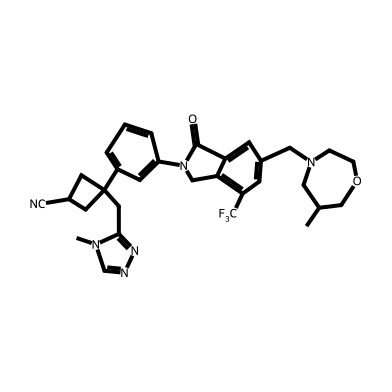 CC1COCCN(Cc2cc3c(c(C(F)(F)F)c2)CN(c2cccc(C4(Cc5nncn5C)CC(C#N)C4)c2)C3=O)C1